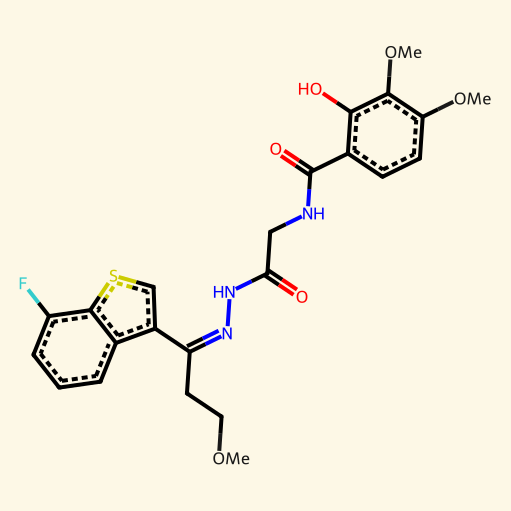 COCC/C(=N/NC(=O)CNC(=O)c1ccc(OC)c(OC)c1O)c1csc2c(F)cccc12